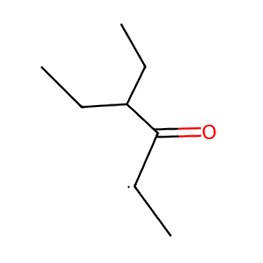 C[CH]C(=O)C(CC)CC